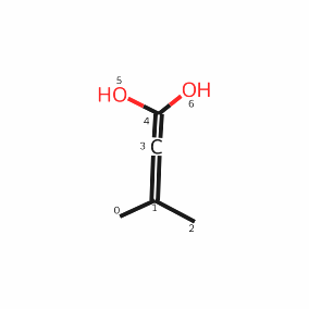 CC(C)=C=C(O)O